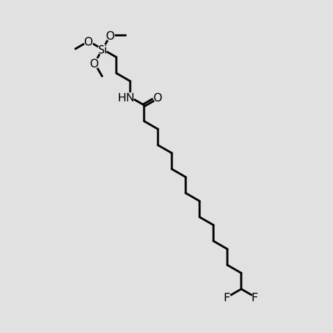 CO[Si](CCCNC(=O)CCCCCCCCCCCCCCC(F)F)(OC)OC